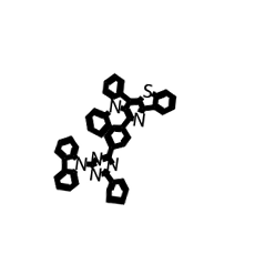 c1ccc(-c2nc(-c3ccc(-c4nc5c6ccccc6sc5c5c6ccccc6n(-c6ccccc6)c45)cc3)nc(-n3c4ccccc4c4ccccc43)n2)cc1